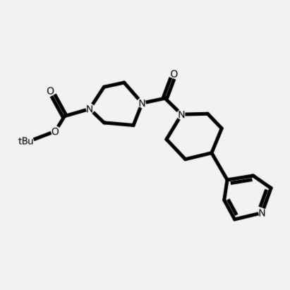 CC(C)(C)OC(=O)N1CCN(C(=O)N2CCC(c3ccncc3)CC2)CC1